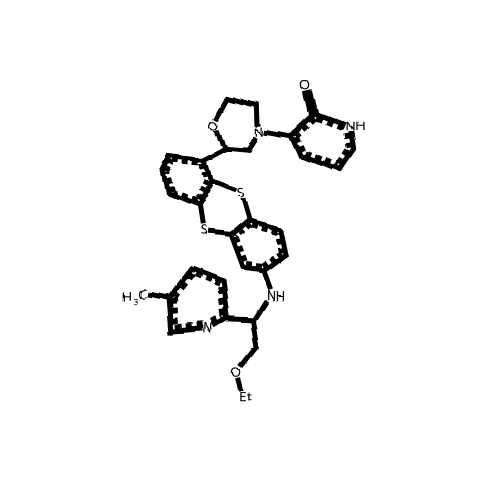 CCOCC(Nc1ccc2c(c1)Sc1cccc(C3CN(c4ccc[nH]c4=O)CCO3)c1S2)c1ccc(C)cn1